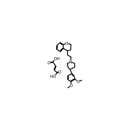 COc1ccc(C2CCN(CCC3CCOc4ccccc43)CC2)cc1OC.O=C(O)/C=C/C(=O)O